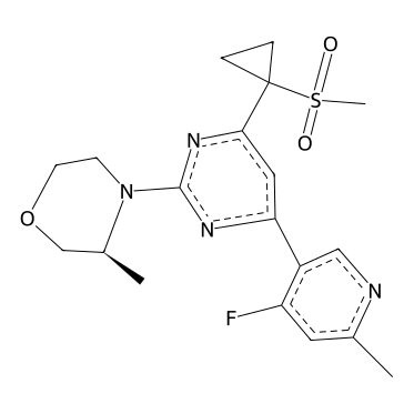 Cc1cc(F)c(-c2cc(C3(S(C)(=O)=O)CC3)nc(N3CCOC[C@@H]3C)n2)cn1